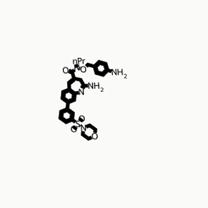 CCCN(OCc1ccc(N)cc1)C(=O)C1=Cc2ccc(-c3cccc(S(=O)(=O)N4CCOCC4)c3)cc2N=C(N)C1